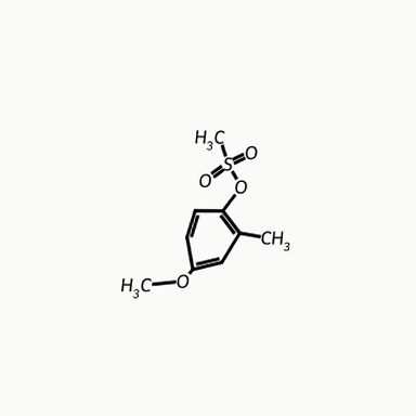 COc1ccc(OS(C)(=O)=O)c(C)c1